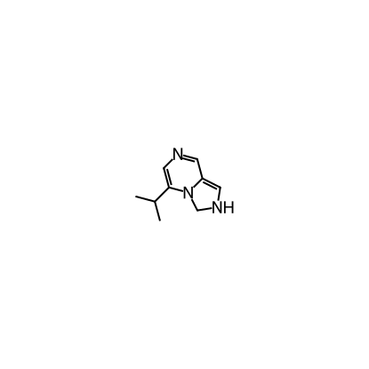 CC(C)C1=CN=CC2=CNCN21